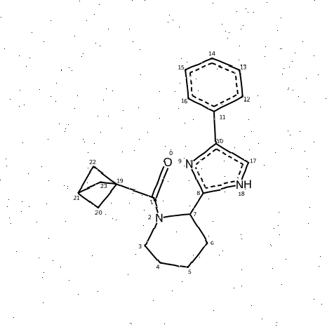 O=C(N1CCCCC1c1nc(-c2ccccc2)c[nH]1)C12CC(C1)C2